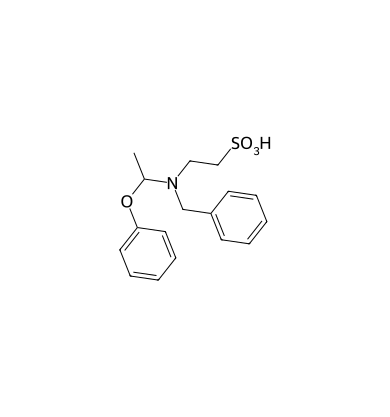 CC(Oc1ccccc1)N(CCS(=O)(=O)O)Cc1ccccc1